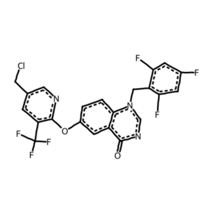 O=c1ncn(Cc2c(F)cc(F)cc2F)c2ccc(Oc3ncc(CCl)cc3C(F)(F)F)cc12